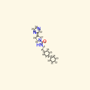 O=C(NCCc1ccc(-c2ccccc2)cc1)N1CCC(c2cnccn2)C1